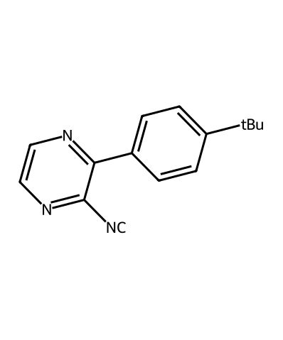 [C-]#[N+]c1nccnc1-c1ccc(C(C)(C)C)cc1